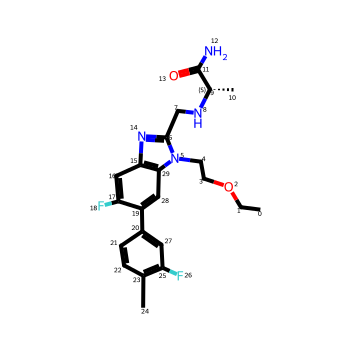 CCOCCn1c(CN[C@@H](C)C(N)=O)nc2cc(F)c(-c3ccc(C)c(F)c3)cc21